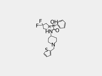 O=C(NC1CCN(Cc2cccs2)CC1)[C@](O)(c1ccccc1)[C@@H]1CCC(F)(F)C1